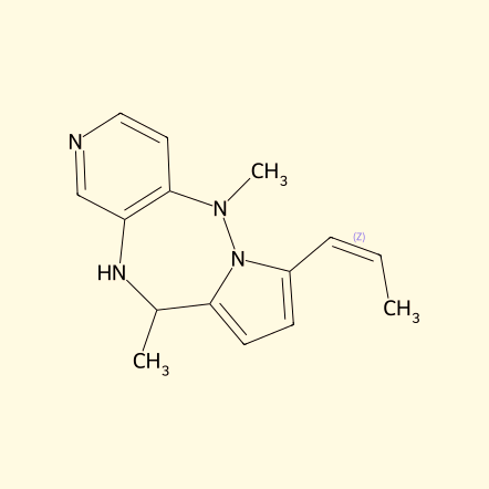 C/C=C\c1ccc2n1N(C)c1ccncc1NC2C